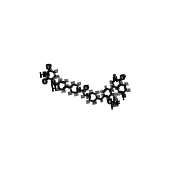 Cn1cc(-c2ccc(CC3CCN(CC(=O)N4CCC(c5ccc(NC6CCC(=O)NC6=O)cc5)CC4)CC3)c(OC(F)(F)F)c2)c2cc(F)ccc2c1=O